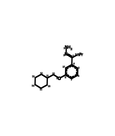 CCCC(=NN)c1cccc(OCC2CCCCC2)c1